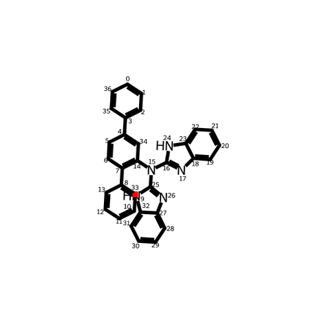 c1ccc(-c2ccc(-c3ccccc3)c(N(c3nc4ccccc4[nH]3)c3nc4ccccc4[nH]3)c2)cc1